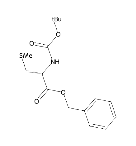 CSC[C@H](NC(=O)OC(C)(C)C)C(=O)OCc1ccccc1